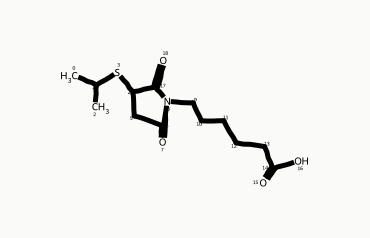 CC(C)SC1CC(=O)N(CCCCCC(=O)O)C1=O